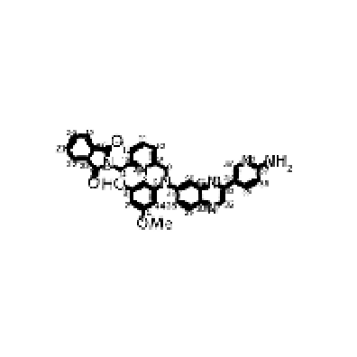 COc1cc(O)cc(N(Cc2cccc(CN3C(=O)c4ccccc4C3=O)n2)c2ccc3ncc(-c4ccc(N)nc4)nc3c2)c1